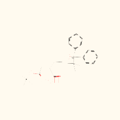 CC(C)(C)OC(=O)C[C@H](CCO[Si](c1ccccc1)(c1ccccc1)C(C)(C)C)C(=O)O